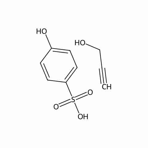 C#CCO.O=S(=O)(O)c1ccc(O)cc1